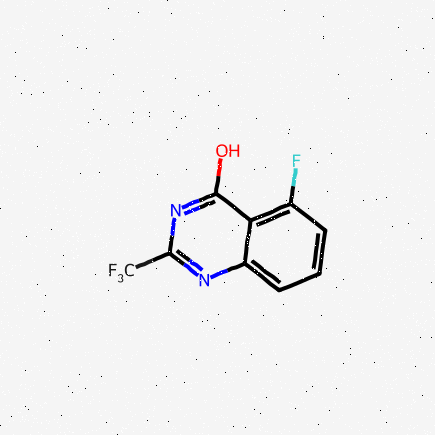 Oc1nc(C(F)(F)F)nc2cccc(F)c12